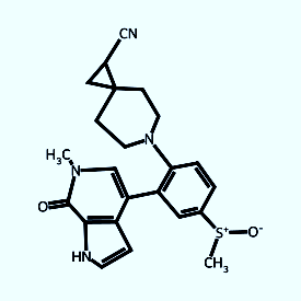 Cn1cc(-c2cc([S+](C)[O-])ccc2N2CCC3(CC2)CC3C#N)c2cc[nH]c2c1=O